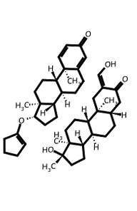 C[C@]12C/C(=C/O)C(=O)C[C@@H]1CC[C@@H]1[C@@H]2CC[C@@]2(C)[C@H]1CC[C@]2(C)O.C[C@]12CC[C@H]3[C@@H](CCC4=CC(=O)C=C[C@@]43C)[C@@H]1CC[C@@H]2OC1=CCCC1